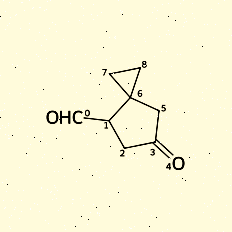 O=CC1CC(=O)CC12CC2